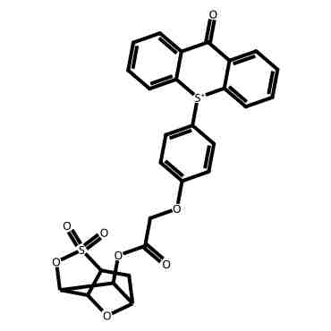 O=C(COc1ccc(-[s+]2c3ccccc3c(=O)c3ccccc32)cc1)OC1C2CC3C(O2)C1OS3(=O)=O